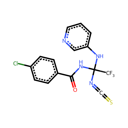 O=C(NC(N=C=S)(Nc1cccnc1)C(F)(F)F)c1ccc(Cl)cc1